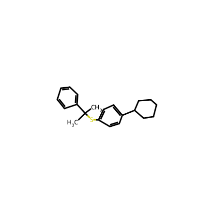 CC(C)(Sc1ccc(C2CCCCC2)cc1)c1ccccc1